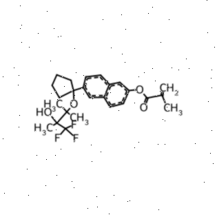 C=C(C)C(=O)Oc1ccc2cc(C3(OC(C)(C)C(C)(O)C(F)(F)F)CCCC3)ccc2c1